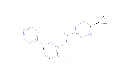 Nc1ccc(-c2ccc(F)nc2)nc1NC(O)C1=CN[C@H](C2CC2)C=N1